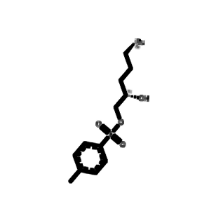 CC[C@H](C)CCC[C@H](O)COS(=O)(=O)c1ccc(C)cc1